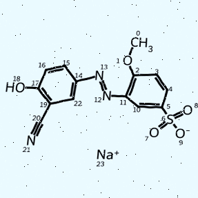 COc1ccc(S(=O)(=O)[O-])cc1N=Nc1ccc(O)c(C#N)c1.[Na+]